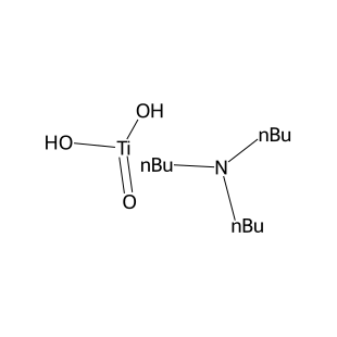 CCCCN(CCCC)CCCC.[O]=[Ti]([OH])[OH]